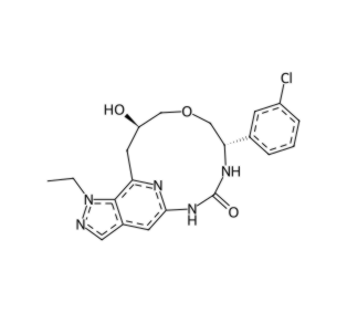 CCn1ncc2cc3nc(c21)C[C@@H](O)COC[C@H](c1cccc(Cl)c1)NC(=O)N3